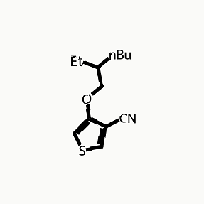 CCCCC(CC)COc1cscc1C#N